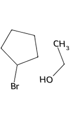 BrC1CCCC1.CCO